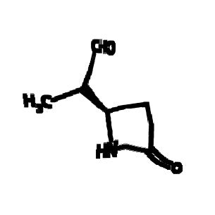 CC(C=O)[C@H]1CC(=O)N1